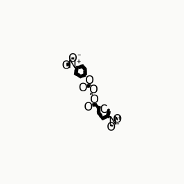 O=C(OCOC(=O)c1ccc([N+](=O)[O-])cc1)Oc1ccc([N+](=O)[O-])cc1